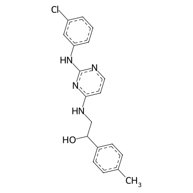 Cc1ccc(C(O)CNc2ccnc(Nc3cccc(Cl)c3)n2)cc1